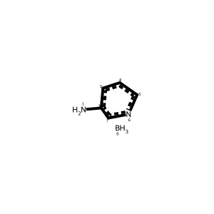 B.Nc1cccnc1